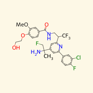 COc1cc(C(=O)NCC(c2cc(C(C)(N)CF)cc(-c3ccc(F)c(Cl)c3)n2)C(F)(F)F)ccc1OCCO